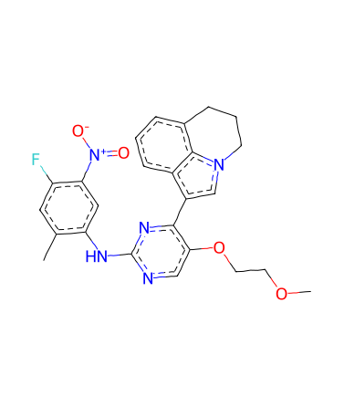 COCCOc1cnc(Nc2cc([N+](=O)[O-])c(F)cc2C)nc1-c1cn2c3c(cccc13)CCC2